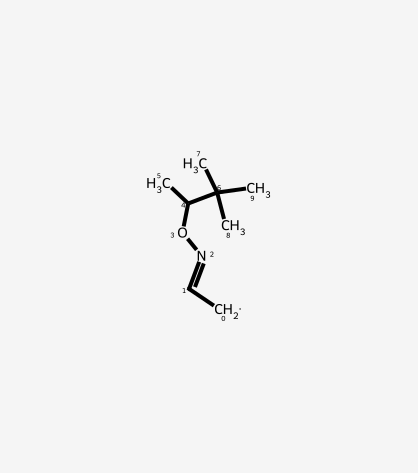 [CH2]C=NOC(C)C(C)(C)C